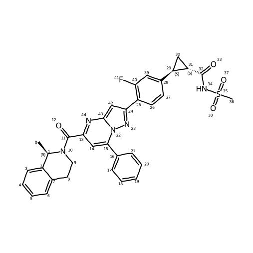 C[C@@H]1c2ccccc2CCN1C(=O)c1cc(-c2ccccc2)n2nc(-c3ccc([C@H]4C[C@@H]4C(=O)NS(C)(=O)=O)cc3F)cc2n1